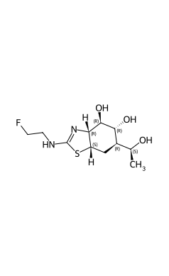 C[C@H](O)[C@H]1C[C@@H]2SC(NCCF)=N[C@@H]2[C@@H](O)[C@@H]1O